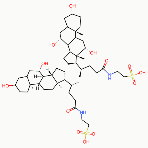 C[C@H](CCC(=O)NCCS(=O)(=O)O)[C@H]1CCC2C3C(C[C@H](O)[C@@]21C)[C@@]1(C)CC[C@@H](O)CC1C[C@H]3O.C[C@H](CCC(=O)NCCS(=O)(=O)O)[C@H]1CC[C@H]2[C@@H]3[C@@H](O)CC4C[C@H](O)CC[C@]4(C)[C@H]3CC[C@]12C